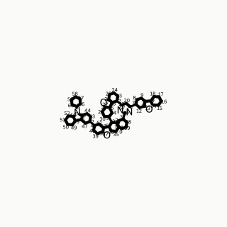 c1ccc(-c2nc(-c3ccc4c(c3)oc3ccccc34)cc(-c3cccc4oc5ccc(-c6cccc7oc8ccc(-c9ccc%10c(c9)c9ccccc9n%10-c9ccccc9)cc8c67)cc5c34)n2)cc1